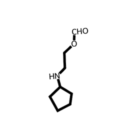 O=COCCNC1CCCC1